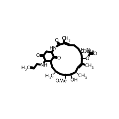 C=CCNC1C(=O)CC2NC(=O)/C(C)=C/CC[C@H](OC)[C@@H](OC(N)=O)/C(C)=C/[C@H](C)[C@@H](O)[C@@H](OC)C[C@H](C)CC1C2=O